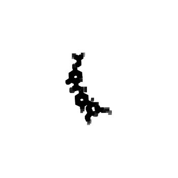 Cc1cc(OCC(F)F)cnc1C(=O)Nc1ccc(F)c([C@]2(C)C=C(CF)OC(N)=N2)c1